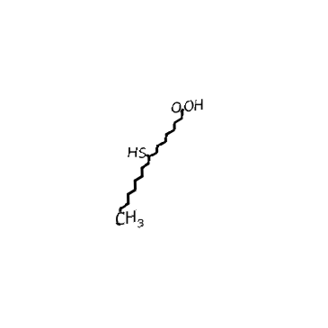 CCCCCCCCCC(S)CCCCCCCC(=O)O